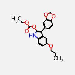 CCCOc1ccc2[nH]c(OC(=O)OCC)c(-c3ccc4c(c3)OCO4)c2c1